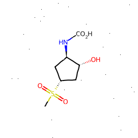 CS(=O)(=O)[C@H]1C[C@@H](O)[C@H](NC(=O)O)C1